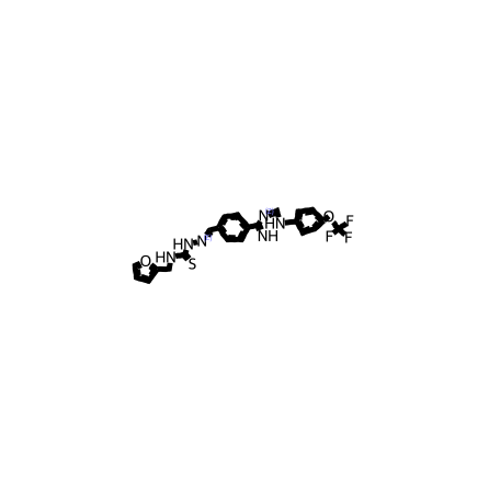 N=C(/N=C\Nc1ccc(OC(F)(F)F)cc1)c1ccc(/C=N/NC(=S)NCc2ccco2)cc1